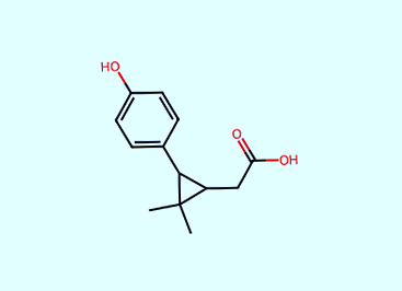 CC1(C)C(CC(=O)O)C1c1ccc(O)cc1